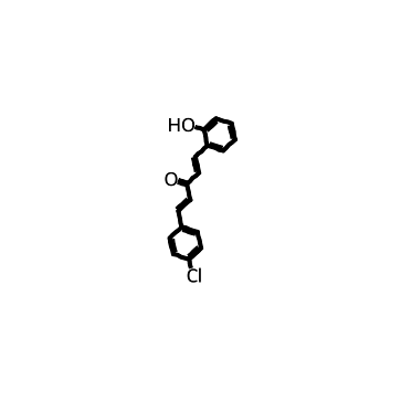 O=C(C=Cc1ccc(Cl)cc1)C=Cc1ccccc1O